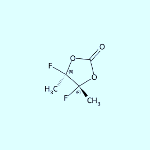 C[C@]1(F)OC(=O)O[C@]1(C)F